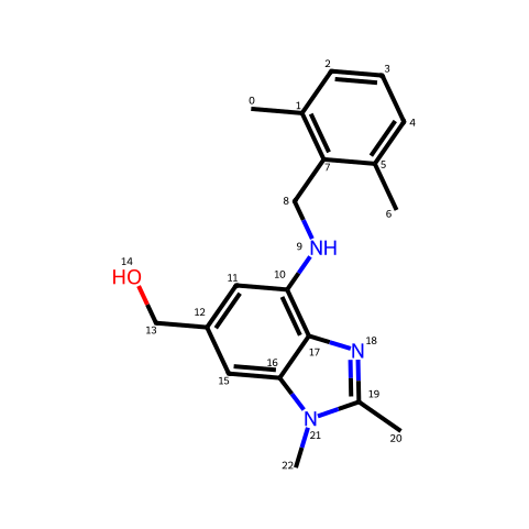 Cc1cccc(C)c1CNc1cc(CO)cc2c1nc(C)n2C